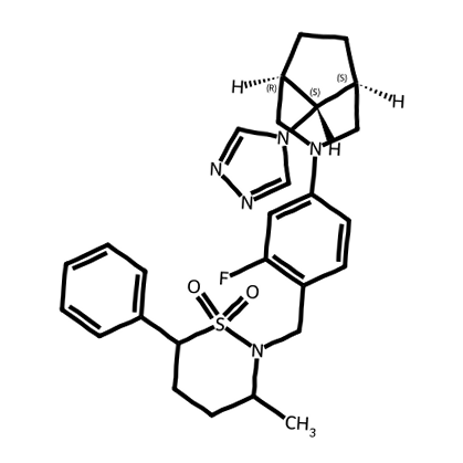 CC1CCC(c2ccccc2)S(=O)(=O)N1Cc1ccc(N2C[C@H]3CC[C@@H](C2)[C@@H]3n2cnnc2)cc1F